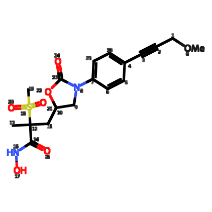 COCC#Cc1ccc(N2CC(CC(C)(C(=O)NO)S(C)(=O)=O)OC2=O)cc1